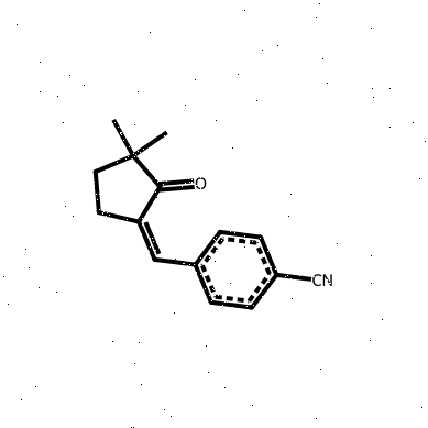 CC1(C)CCC(=Cc2ccc(C#N)cc2)C1=O